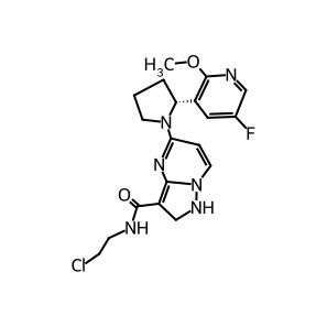 COc1ncc(F)cc1[C@H]1CCCN1C1=NC2=C(C(=O)NCCCl)CNN2C=C1